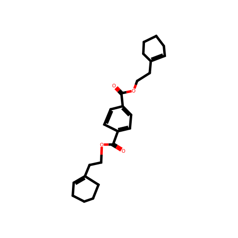 O=C(OCCC1=CCCCC1)c1ccc(C(=O)OCCC2=CCCCC2)cc1